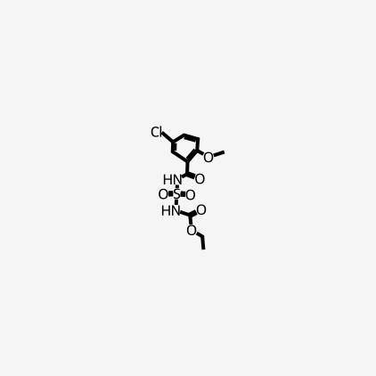 CCOC(=O)NS(=O)(=O)NC(=O)c1cc(Cl)ccc1OC